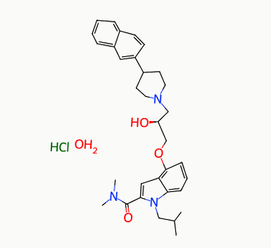 CC(C)Cn1c(C(=O)N(C)C)cc2c(OC[C@@H](O)CN3CCC(c4ccc5ccccc5c4)CC3)cccc21.Cl.O